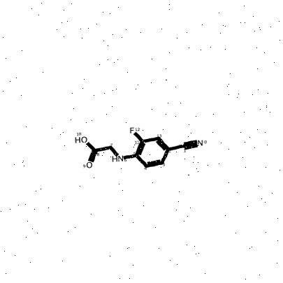 N#Cc1ccc(NCC(=O)O)c(F)c1